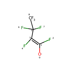 [O]C(F)=C(F)C(F)(F)C(F)(F)F